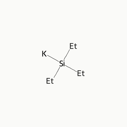 CC[Si]([K])(CC)CC